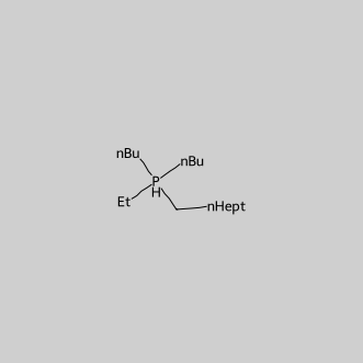 CCCCCCCC[PH](CC)(CCCC)CCCC